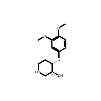 COc1ccc(O[C@H]2CCNC[C@@H]2O)cc1OC